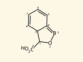 O=C(O)C1OB=C2C=CC=CC21